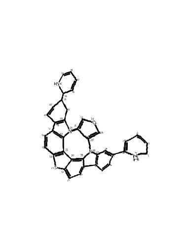 C1=CCNC(c2ccc3c4ccc5sc6ccc7c8c(n9c%10cocc%10n(c3c2)c4c5c6c79)CC(C2C=CC=CN2)C=C8)=C1